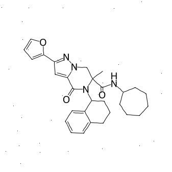 CC1(C(=O)NC2CCCCCC2)Cn2nc(-c3ccco3)cc2C(=O)N1C1CCCc2ccccc21